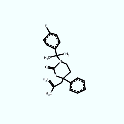 C=C(C)CC1(c2ccccc2)CCN(C(C)(C)c2ccc(F)cc2)C(=O)O1